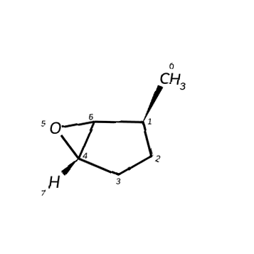 C[C@H]1CC[C@@H]2OC21